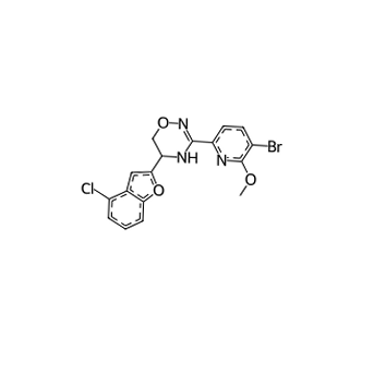 COc1nc(C2=NOCC(c3cc4c(Cl)cccc4o3)N2)ccc1Br